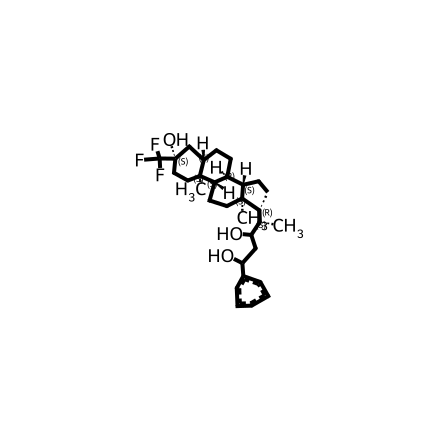 C[C@H](C(O)CC(O)c1ccccc1)[C@H]1CC[C@H]2[C@@H]3CC[C@H]4C[C@](O)(C(F)(F)F)CC[C@]4(C)[C@H]3CC[C@]12C